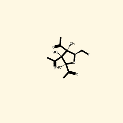 CC(=O)[C@]1(O)[C@](O)(C(C)=O)O[C@H](CF)[C@]1(O)C(C)=O